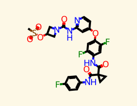 CS(=O)(=O)OC1CN(C(=O)Nc2cc(Oc3cc(F)c(NC(=O)C4(C(=O)Nc5ccc(F)cc5)CC4)cc3F)ccn2)C1